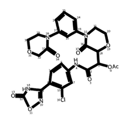 CC(=O)OC(C(=O)Nc1ccc(-c2noc(=O)[nH]2)c(Cl)c1)C1OCCN(c2cccc(N3CCOCC3=O)c2)C1=O